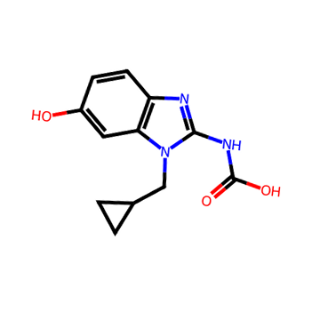 O=C(O)Nc1nc2ccc(O)cc2n1CC1CC1